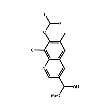 COC(O)c1cnc2c(Cl)c(OC(F)F)c(C)cc2c1